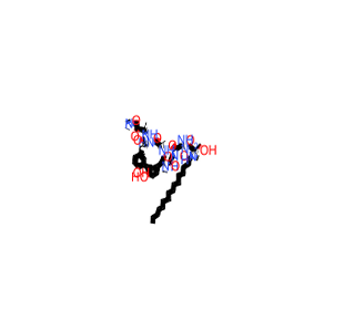 CCCCCCCCCCCCCCCC(=O)N(C)[C@H](CO)C(=O)N[C@H](N)C(=O)NCC(=O)N(C)[C@@H]1C(=O)N[C@@H](C)C(=O)N[C@H](C(=O)N[C@@H](C)C(=O)C(=O)N(C)C)Cc2ccc(O)c(c2)-c2cc1ccc2O